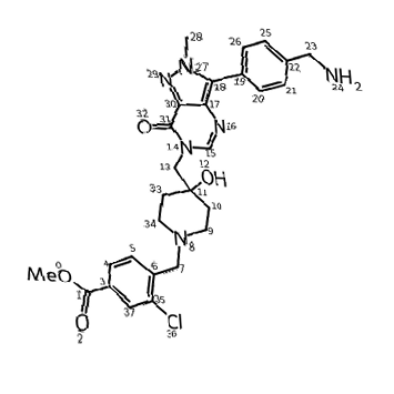 COC(=O)c1ccc(CN2CCC(O)(Cn3cnc4c(-c5ccc(CN)cc5)n(C)nc4c3=O)CC2)c(Cl)c1